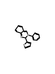 C1=c2ccccc2=NC(c2cccs2)N1c1ccccc1